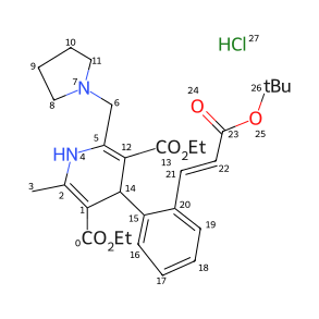 CCOC(=O)C1=C(C)NC(CN2CCCC2)=C(C(=O)OCC)C1c1ccccc1/C=C/C(=O)OC(C)(C)C.Cl